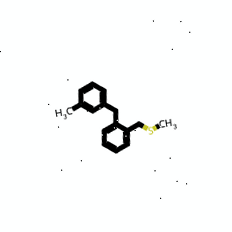 CSCc1ccccc1Cc1cccc(C)c1